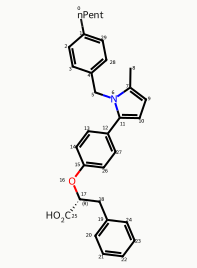 CCCCCc1ccc(Cn2c(C)ccc2-c2ccc(O[C@H](Cc3ccccc3)C(=O)O)cc2)cc1